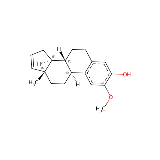 COc1cc2c(cc1O)CC[C@@H]1[C@@H]2CC[C@]2(C)C=CC[C@@H]12